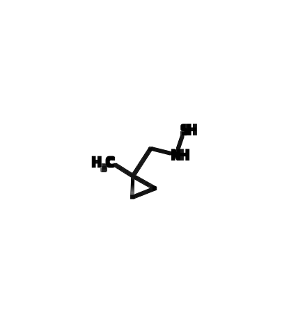 CC1(CNS)CC1